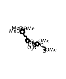 COC(=O)CCOc1cc([N+](=O)[O-])c(COc2cc(/C=C/c3cc(OC)c(OC)c(OC)c3)ccc2OC)cc1OC